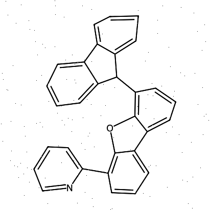 c1ccc(-c2cccc3c2oc2c(C4c5ccccc5-c5ccccc54)cccc23)nc1